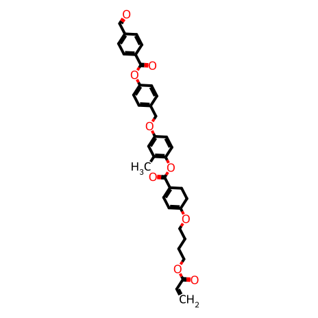 C=CC(=O)OCCCCOC1=CC=C(C(=O)Oc2ccc(OCc3ccc(OC(=O)c4ccc(C=O)cc4)cc3)cc2C)CC1